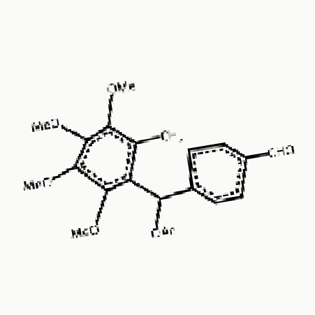 COc1c(C)c(C(OC(C)=O)c2ccc(C=O)cc2)c(OC)c(OC)c1OC